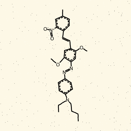 CCCCN(CC)c1ccc(/N=N/c2cc(OC)c(/C=C/c3ccc(C)cc3[N+](=O)[O-])cc2OC)cc1